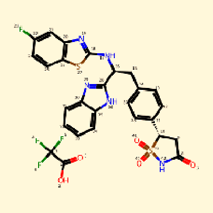 O=C(O)C(F)(F)F.O=C1C[C@@H](c2ccc(C[C@H](Nc3nc4cc(F)ccc4s3)c3nc4ccccc4[nH]3)cc2)S(=O)(=O)N1